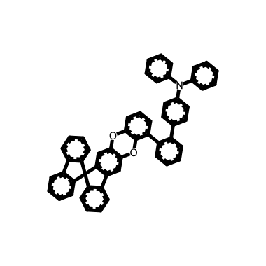 c1ccc(N(c2ccccc2)c2ccc(-c3ccccc3-c3cccc4c3Oc3cc5c(cc3O4)C3(c4ccccc4-c4ccccc43)c3ccccc3-5)cc2)cc1